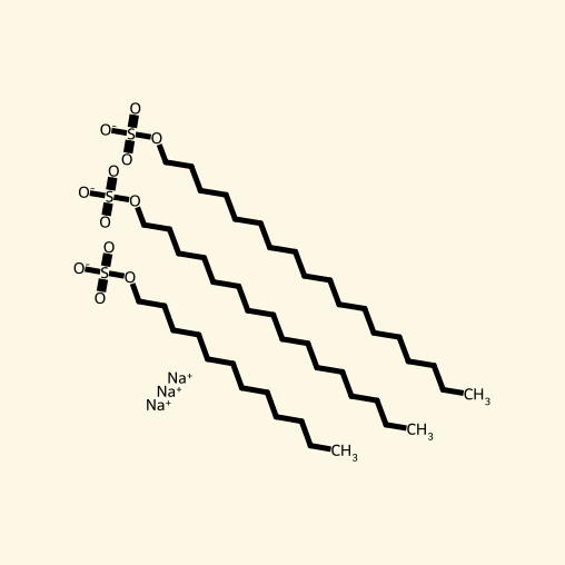 CCCCCCCCCCCCCCCCCCOS(=O)(=O)[O-].CCCCCCCCCCCCCCCCOS(=O)(=O)[O-].CCCCCCCCCCCCOS(=O)(=O)[O-].[Na+].[Na+].[Na+]